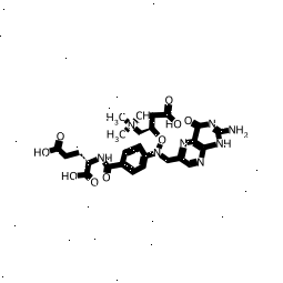 C[N+](C)(C)C[C@@H](CC(=O)O)ON(Cc1cnc2[nH]c(N)nc(=O)c2n1)c1ccc(C(=O)N[C@@H](CCC(=O)O)C(=O)O)cc1